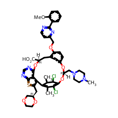 COc1ccccc1-c1nccc(COc2ccc3cc2C[C@H](C(=O)O)Oc2ncnc4sc(C[C@@H]5COCCO5)c(c24)C2=C(C)C(Cl)=C(O[C@H](CN4CCN(C)CC4)O3)C(Cl)C2C)n1